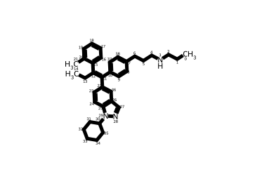 CCCNCCCc1ccc(/C(=C(/CC)c2ccccc2C)c2ccc3c(cnn3C3CCCCC3)c2)cc1